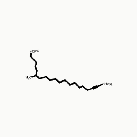 CCCCCCCC#CCCCCCCCCCCCC(C)CCCCCCCCCCCCCC